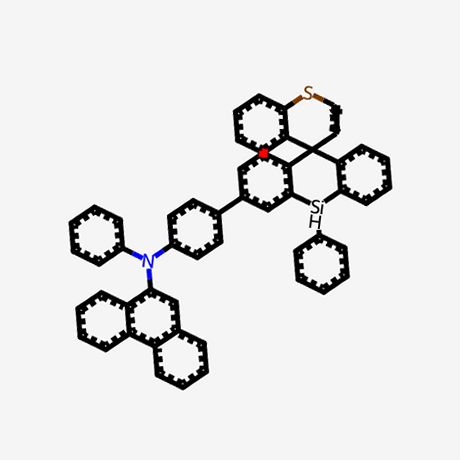 c1ccc(N(c2ccc(-c3ccc4c(c3)[SiH](c3ccccc3)c3ccccc3C43c4ccccc4Sc4ccccc43)cc2)c2cc3ccccc3c3ccccc23)cc1